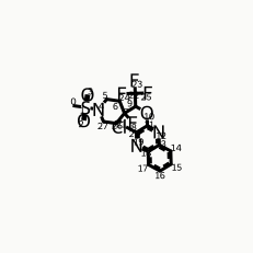 CS(=O)(=O)N1CCC(F)(C(Oc2nc3ccccc3nc2Cl)C(F)(F)F)CC1